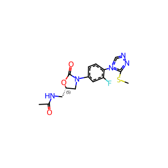 CSc1nncn1-c1ccc(N2C[C@H](CNC(C)=O)OC2=O)cc1F